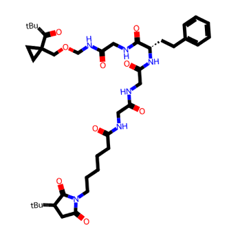 CC(C)(C)C(=O)C1(COCNC(=O)CNC(=O)[C@H](CCc2ccccc2)NC(=O)CNC(=O)CNC(=O)CCCCCN2C(=O)CC(C(C)(C)C)C2=O)CC1